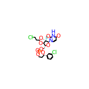 C[C@@]1(F)[C@H](OC(=O)CCCl)[C@@H](CO[P@@]2(=O)OCC[C@@H](c3cccc(Cl)c3)O2)O[C@H]1n1ccc(=O)[nH]c1=O